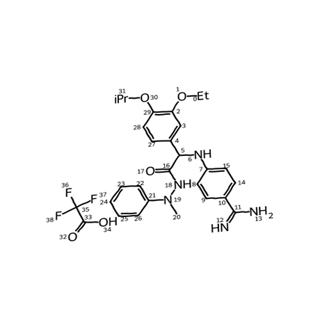 CCOc1cc(C(Nc2ccc(C(=N)N)cc2)C(=O)NN(C)c2ccccc2)ccc1OC(C)C.O=C(O)C(F)(F)F